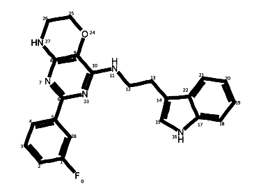 Fc1cccc(-c2nc3c(c(NCCc4c[nH]c5ccccc45)n2)OCCN3)c1